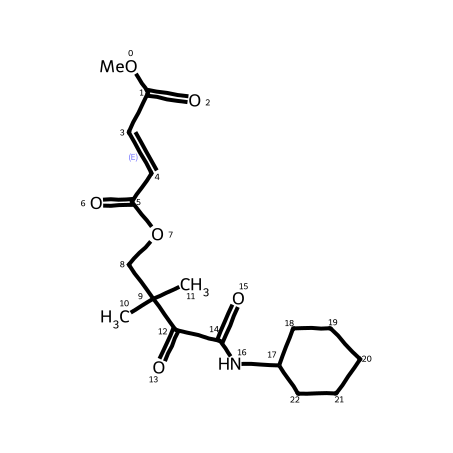 COC(=O)/C=C/C(=O)OCC(C)(C)C(=O)C(=O)NC1CCCCC1